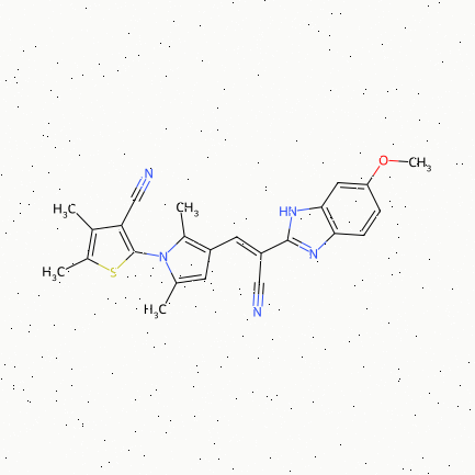 COc1ccc2nc(/C(C#N)=C/c3cc(C)n(-c4sc(C)c(C)c4C#N)c3C)[nH]c2c1